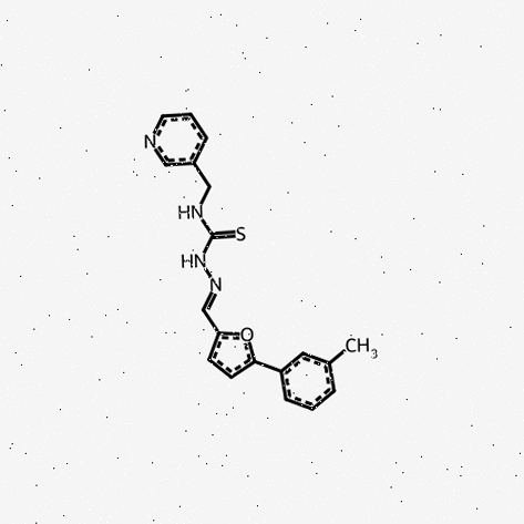 Cc1cccc(-c2ccc(C=NNC(=S)NCc3cccnc3)o2)c1